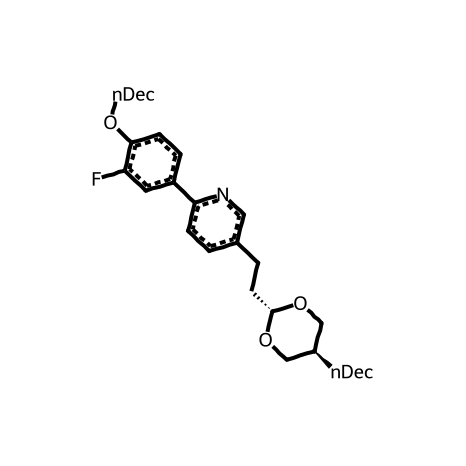 CCCCCCCCCCOc1ccc(-c2ccc(CC[C@H]3OC[C@H](CCCCCCCCCC)CO3)cn2)cc1F